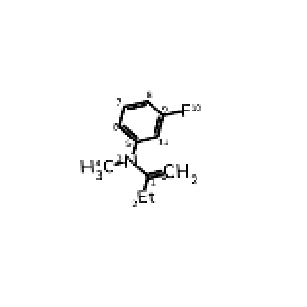 C=C(CC)N(C)c1cccc(F)c1